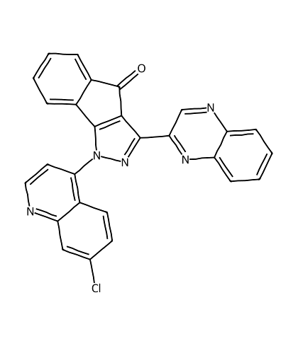 O=C1c2ccccc2-c2c1c(-c1cnc3ccccc3n1)nn2-c1ccnc2cc(Cl)ccc12